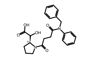 O=C(O)C(O)[C@@H]1CCCN1C(=O)CCC(=O)N(Cc1ccccc1)c1ccccc1